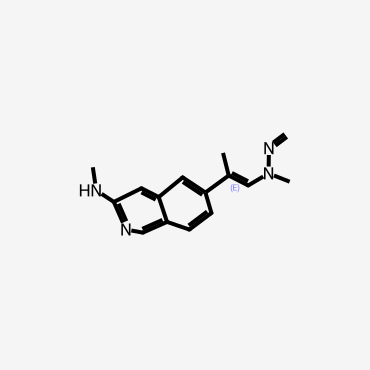 C=NN(C)/C=C(\C)c1ccc2cnc(NC)cc2c1